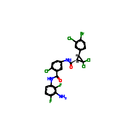 Nc1c(F)ccc(NC(=O)c2cc(NC(=O)[C@@H]3[C@@H](c4ccc(Br)c(Cl)c4)C3(Cl)Cl)ccc2Cl)c1F